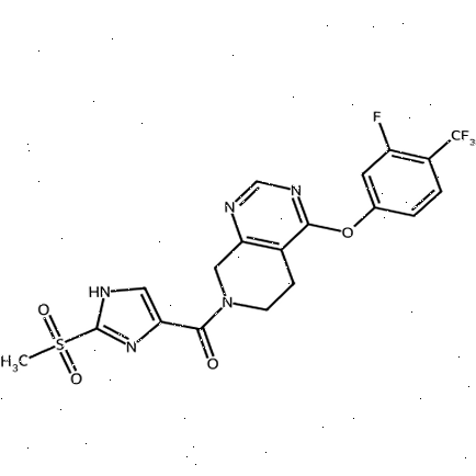 CS(=O)(=O)c1nc(C(=O)N2CCc3c(ncnc3Oc3ccc(C(F)(F)F)c(F)c3)C2)c[nH]1